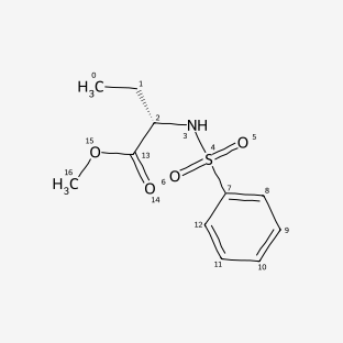 CC[C@H](NS(=O)(=O)c1ccccc1)C(=O)OC